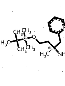 CC(C)(C)[Si](C)(C)OCC[C@](C)(N)Cc1ccccn1